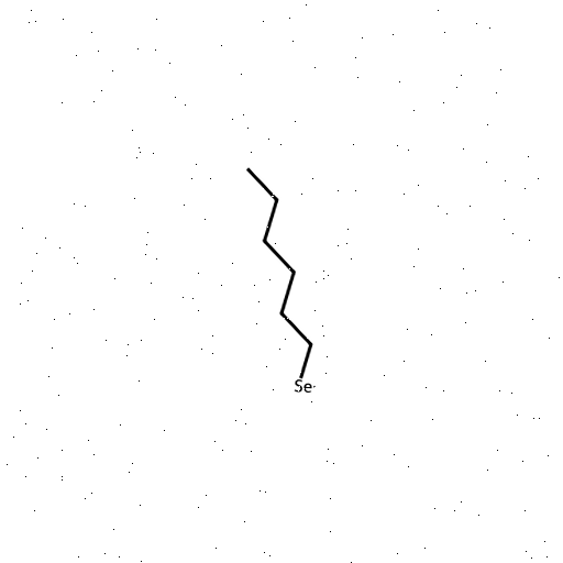 CCCCCC[Se]